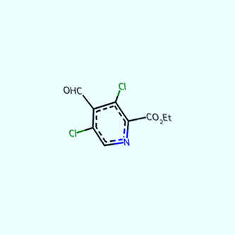 CCOC(=O)c1ncc(Cl)c(C=O)c1Cl